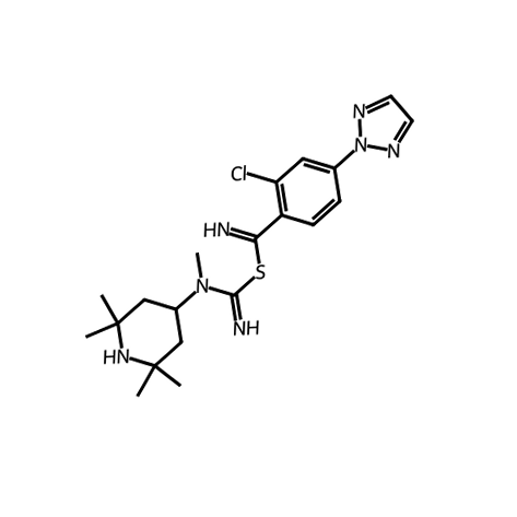 CN(C(=N)SC(=N)c1ccc(-n2nccn2)cc1Cl)C1CC(C)(C)NC(C)(C)C1